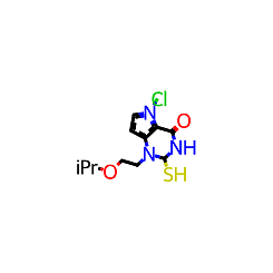 CC(C)OCCN1c2ccn(Cl)c2C(=O)NC1S